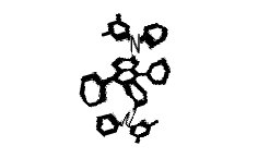 Cc1cc(C)cc(N(c2ccccc2)c2ccc3c(C4CCCCC4)c4cc(N(c5ccccc5)c5cc(C)cc(C)c5)ccc4c(C4CCCCC4)c3c2)c1